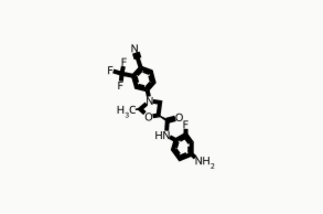 C[C@H]1O[C@H](C(=O)Nc2ccc(N)cc2F)CN1c1ccc(C#N)c(C(F)(F)F)c1